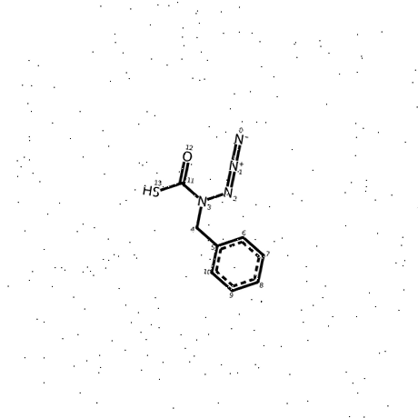 [N-]=[N+]=NN(Cc1ccccc1)C(=O)S